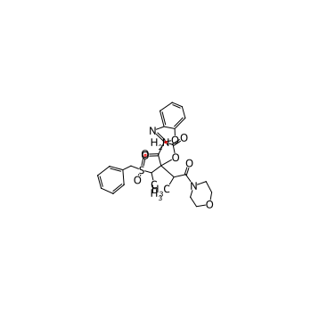 CC(C(=O)N1CCOCC1)C(OC(N)=O)(C(=O)c1nc2ccccc2o1)C(C)S(=O)(=O)Cc1ccccc1